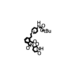 CC(C)(C)OC(=O)NC1CCN(CCc2cccc3c2C(=O)N(C2CCC(=O)NC2=O)C3=O)CC1